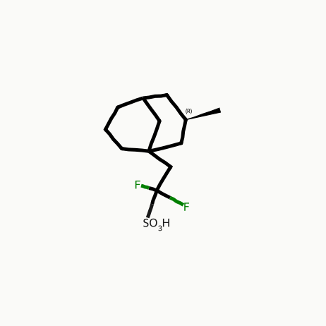 C[C@@H]1CC2CCCC(CC(F)(F)S(=O)(=O)O)(C2)C1